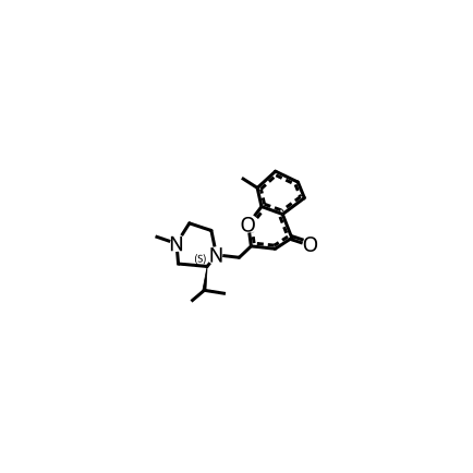 Cc1cccc2c(=O)cc(CN3CCN(C)C[C@@H]3C(C)C)oc12